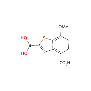 COc1ccc(C(=O)O)c2cc(B(O)O)sc12